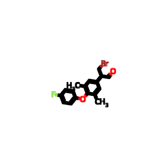 Cc1cc(C(C=O)CBr)cc(C)c1Oc1ccc(F)cc1